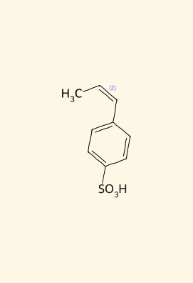 C/C=C\c1ccc(S(=O)(=O)O)cc1